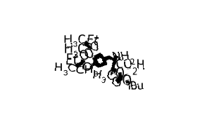 CCC(C)OC(=O)O[C@@H](C)CC(N)(Cc1ccc(OC(=O)C(C)(C)CC)c(OC(=O)C(C)(C)CC)c1)C(=O)O